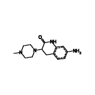 CN1CCN(C2Cc3ccc(N)cc3NC2=O)CC1